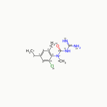 CCc1cc(C)c(N(C)C(=O)NC(=N)N)c(Cl)c1